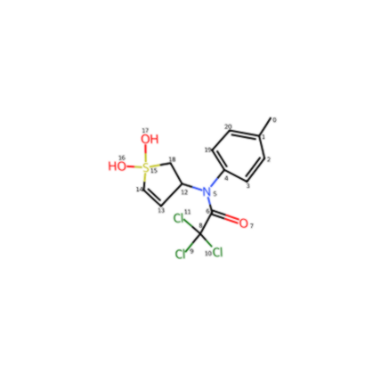 Cc1ccc(N(C(=O)C(Cl)(Cl)Cl)C2C=CS(O)(O)C2)cc1